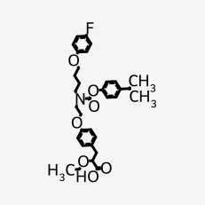 CCOC(Cc1ccc(OCCN(CCCCOc2ccc(F)cc2)C(=O)Oc2ccc(C(C)C)cc2)cc1)C(=O)O